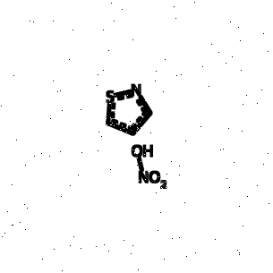 O=[N+]([O-])O.c1cnsc1